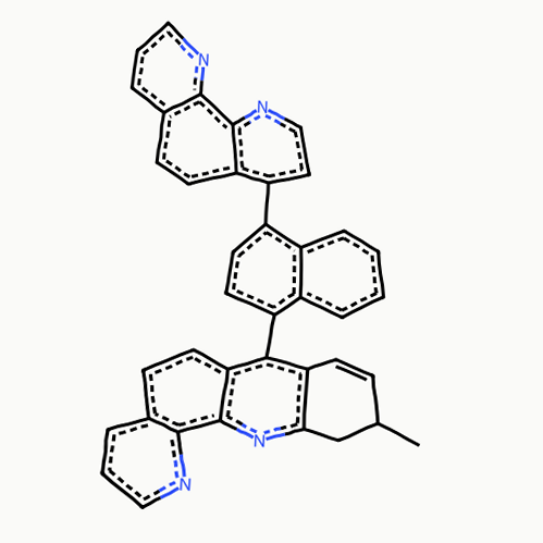 CC1C=Cc2c(nc3c(ccc4cccnc43)c2-c2ccc(-c3ccnc4c3ccc3cccnc34)c3ccccc23)C1